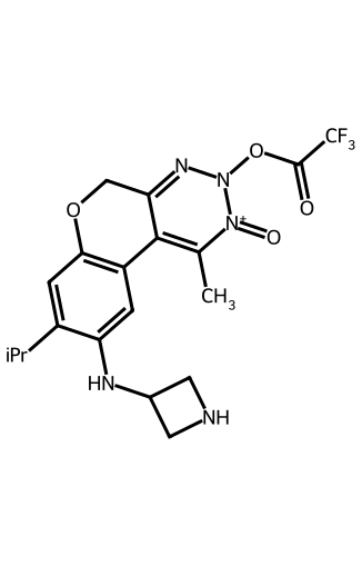 Cc1c2c(nn(OC(=O)C(F)(F)F)[n+]1=O)COc1cc(C(C)C)c(NC3CNC3)cc1-2